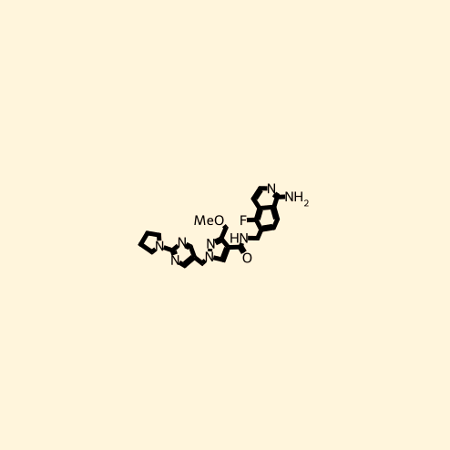 COCc1nn(Cc2cnc(N3CCCC3)nc2)cc1C(=O)NCc1ccc2c(N)nccc2c1F